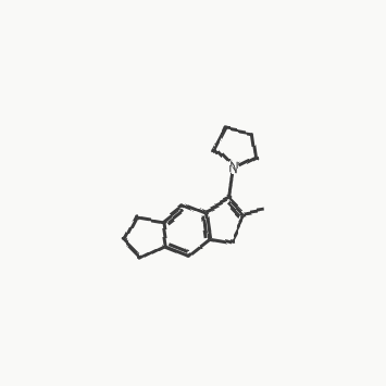 CC1=C(N2CCCC2)c2cc3c(cc2C1)CCC3